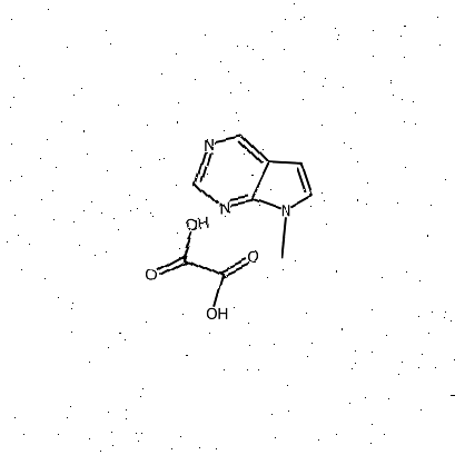 Cn1ccc2cncnc21.O=C(O)C(=O)O